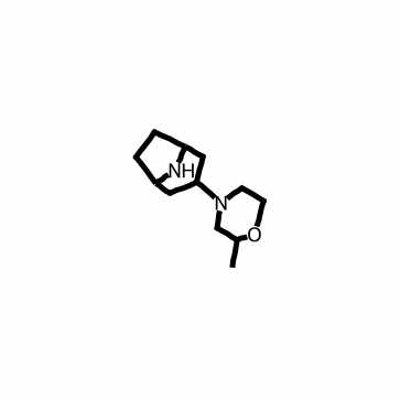 CC1CN(C2CC3CCC(C2)N3)CCO1